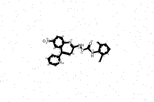 Cc1cccc(C)c1NC(=O)ONC1=Nc2ccc([N+](=O)[O-])cc2C(c2ccccn2)=CC1